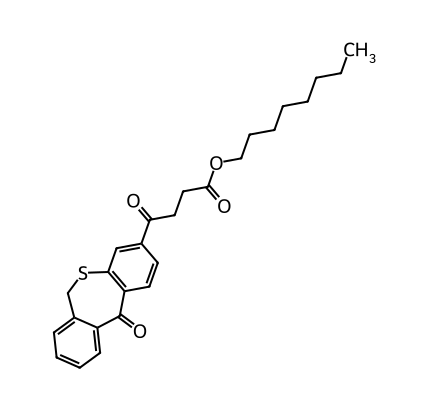 CCCCCCCCOC(=O)CCC(=O)c1ccc2c(c1)SCc1ccccc1C2=O